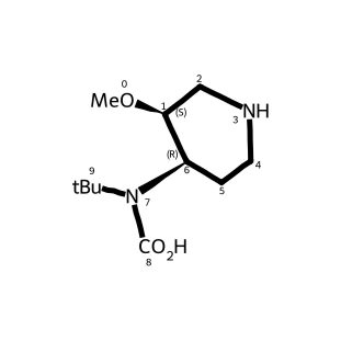 CO[C@H]1CNCC[C@H]1N(C(=O)O)C(C)(C)C